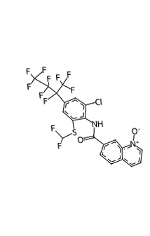 O=C(Nc1c(Cl)cc(C(F)(C(F)(F)F)C(F)(F)C(F)(F)F)cc1SC(F)F)c1ccc2ccc[n+]([O-])c2c1